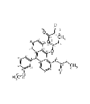 CCC(=O)Oc1cccc2c(-c3cccc(OC)c3)c3cccc(OC(=O)CC)c3c(OC(=O)CC)c12